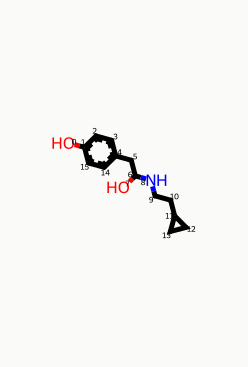 Oc1ccc(CC(O)NCCC2CC2)cc1